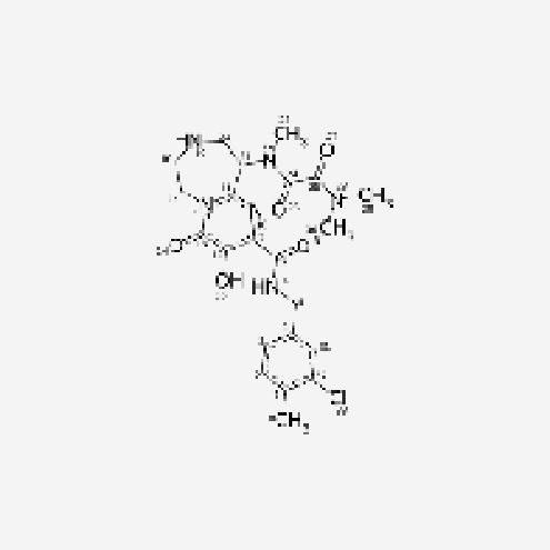 Cc1ccc(CNC(=O)c2nc3n(c(=O)c2O)CCNCC3N(C)C(=O)C(=O)N(C)C)cc1Cl